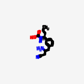 C=CC[C@H](NC(=O)O)c1cccc(CC(N)CC#N)c1